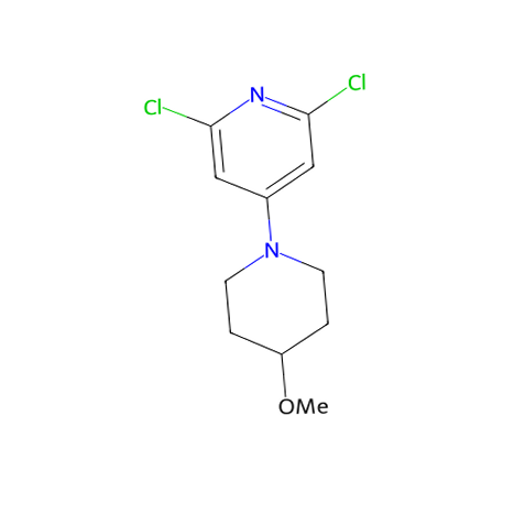 COC1CCN(c2cc(Cl)nc(Cl)c2)CC1